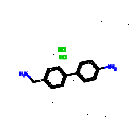 Cl.Cl.NCc1ccc(-c2ccc(N)cc2)cc1